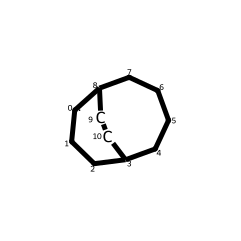 [CH]1CCC2CCCCC1CC2